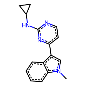 Cn1cc(-c2ccnc(NC3CC3)n2)c2ccccc21